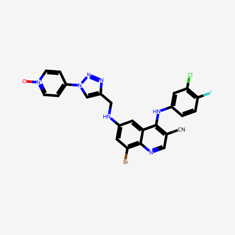 N#Cc1cnc2c(Br)cc(NCc3cn(-c4cc[n+]([O-])cc4)nn3)cc2c1Nc1ccc(F)c(Cl)c1